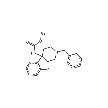 CC(C)(C)OC(=O)NC1(c2ccccc2F)CCN(Cc2ccccc2)CC1